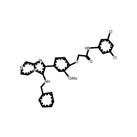 COc1cc(-c2nc3cnccn3c2NCc2ccccc2)ccc1OCC(=O)Nc1cc(Cl)cc(Cl)c1